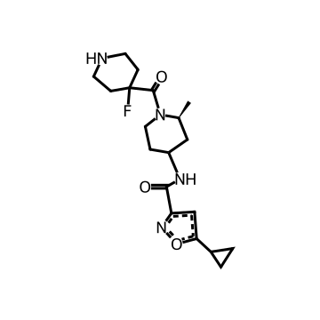 C[C@H]1CC(NC(=O)c2cc(C3CC3)on2)CCN1C(=O)C1(F)CCNCC1